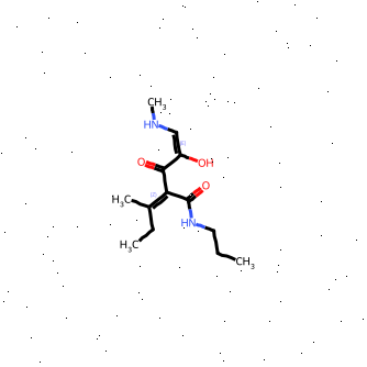 CCCNC(=O)/C(C(=O)/C(O)=C\NC)=C(/C)CC